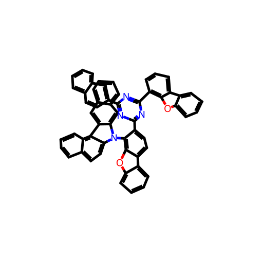 c1ccc2cc(-c3nc(-c4ccc5c(oc6ccccc65)c4-n4c5cc6ccccc6cc5c5c6ccccc6ccc54)nc(-c4cccc5c4oc4ccccc45)n3)ccc2c1